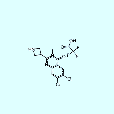 Cn1c(C2CNC2)nc2cc(Cl)c(Cl)cc2c1=O.O=C(O)C(F)(F)F